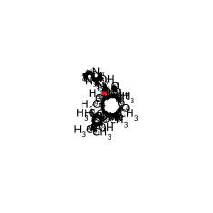 CC[C@H]1OC(=O)[C@H](C)C(=O)[C@H](C)[C@@H](O[C@@H]2O[C@H](C)C[C@H](N(C)C)[C@H]2O)[C@](C)(OC)C[C@@H](C)C(=O)[C@H](C)[C@@H]2N(C3CN(Cc4c(O)cnc5cccnc45)C3)C(=O)O[C@@]21C